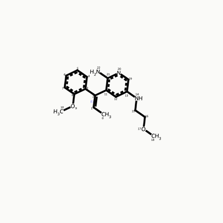 C/C=C(/c1ccccc1OC)c1cc(NCCOC)cnc1N